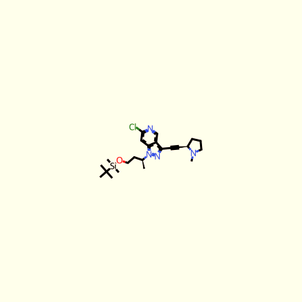 C[C@@H](CCO[Si](C)(C)C(C)(C)C)n1nc(C#C[C@H]2CCCN2C)c2cnc(Cl)cc21